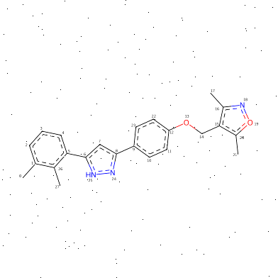 Cc1cccc(-c2cc(-c3ccc(OCc4c(C)noc4C)cc3)n[nH]2)c1C